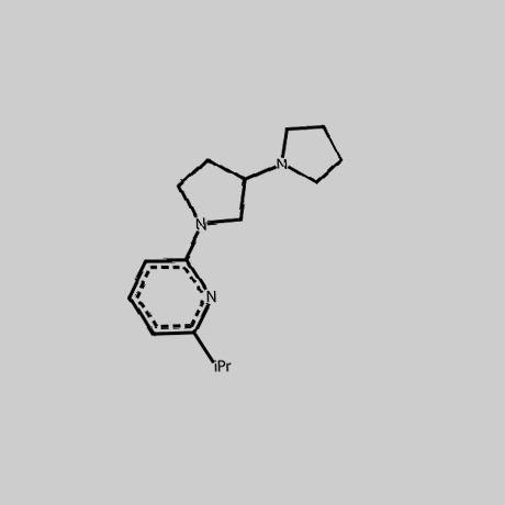 CC(C)c1cccc(N2CCC(N3CCCC3)C2)n1